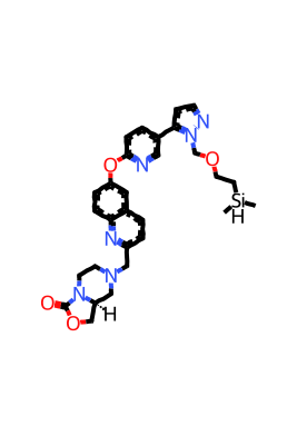 C[SiH](C)CCOCn1nccc1-c1ccc(Oc2ccc3nc(CN4CCN5C(=O)OC[C@@H]5C4)ccc3c2)nc1